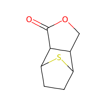 O=C1OCC2C3CCC(S3)C12